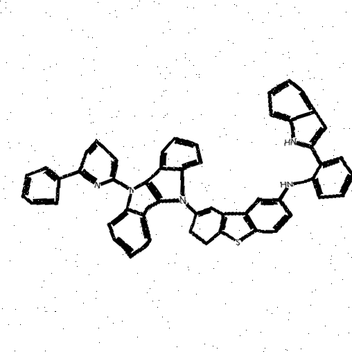 C1=C(n2c3ccccc3c3c2c2ccccc2n3-c2cccc(-c3ccccc3)n2)CCc2sc3ccc(Nc4ccccc4-c4cc5ccccc5[nH]4)cc3c21